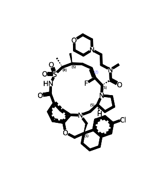 C[C@@H]1[C@@H](C)C/C=C(\F)[C@H](C(=O)N(C)CCN2CCOCC2)N2CCC[C@H]2CN2C[C@@]3(CCCc4cc(Cl)ccc43)COc3ccc(cc32)C(=O)NS1(=O)=O